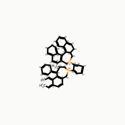 C/C=c1/ccc2c(/c1=C/C(C)C)/C(=C1\C=CC=CC1)[C@@H](C)CP(c1ccccc1P1Cc3ccc4c(c3C3=c5ccccc5=CCC3C1)=CCCC=4)C2